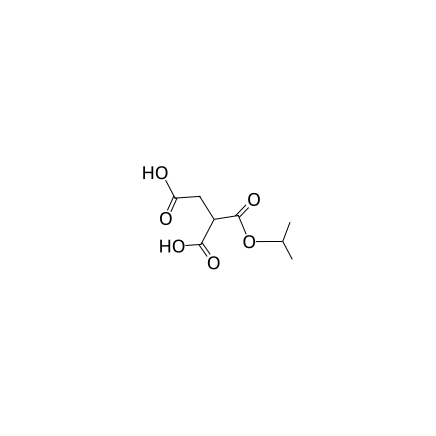 CC(C)OC(=O)C(CC(=O)O)C(=O)O